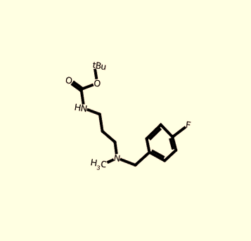 CN(CCCNC(=O)OC(C)(C)C)Cc1ccc(F)cc1